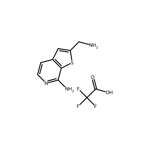 NCc1cc2ccnc(N)c2s1.O=C(O)C(F)(F)F